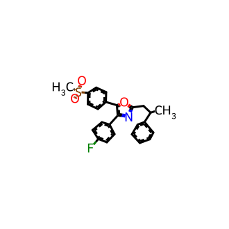 CC(Cc1nc(-c2ccc(F)cc2)c(-c2ccc(S(C)(=O)=O)cc2)o1)c1ccccc1